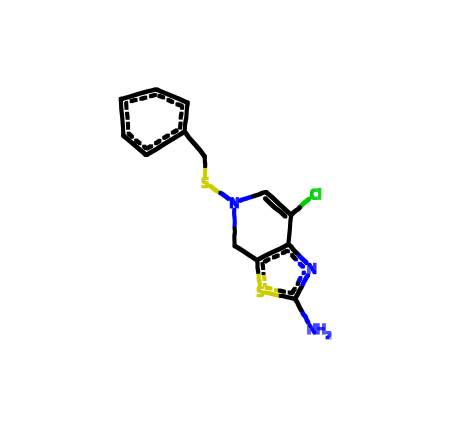 Nc1nc2c(s1)CN(SCc1ccccc1)C=C2Cl